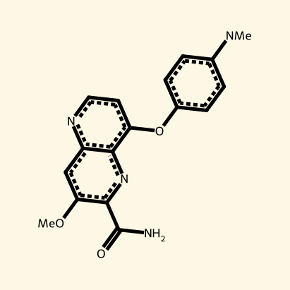 CNc1ccc(Oc2ccnc3cc(OC)c(C(N)=O)nc23)cc1